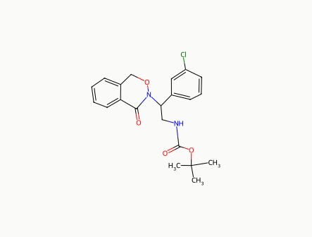 CC(C)(C)OC(=O)NCC(c1cccc(Cl)c1)N1OCc2ccccc2C1=O